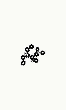 c1ccc(-c2cccc(-c3nc(-c4cccc(-c5ccccc5)c4)nc(-c4cc(-c5ccc6c(c5)c5ccccc5n6-c5ccccc5)c5c(c4)oc4ccccc45)n3)c2)cc1